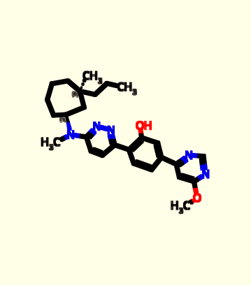 CCC[C@]1(C)CCCC[C@H](N(C)c2ccc(-c3ccc(-c4cc(OC)ncn4)cc3O)nn2)C1